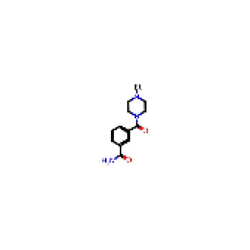 CCN1CCN(C(=O)c2cccc(C(N)=O)c2)CC1